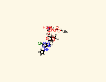 CC(C)(C)COC(=O)OCOP(=O)(O)COC[C@H]1O[C@@H](n2cnc3c(NC4CCCC4)nc(Cl)nc32)[C@@H]2OC(C)(C)O[C@@H]21